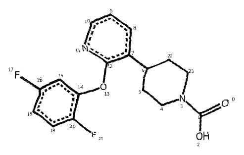 O=C(O)N1CCC(c2cccnc2Oc2cc(F)ccc2F)CC1